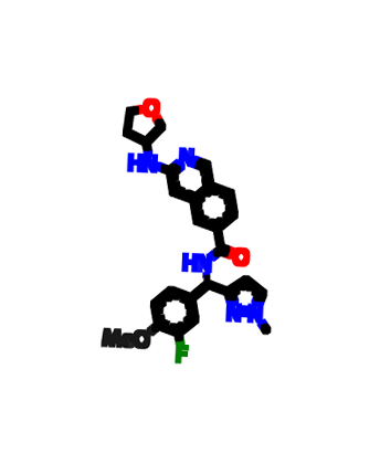 COc1ccc([C@H](NC(=O)c2ccc3cnc(NC4CCOC4)cc3c2)c2ccn(C)n2)cc1F